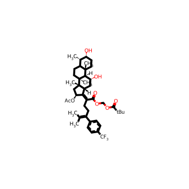 CC(=O)O[C@H]1C[C@@]2(C)[C@H](C[C@@H](O)[C@@H]3[C@@]4(C)CC[C@@H](O)[C@@H](C)C4CC[C@@]32C)C1=C(CCC(=C(C)C)c1ccc(C(F)(F)F)cc1)C(=O)OCOC(=O)C(C)(C)C